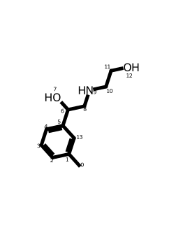 Cc1cccc(C(O)CNCCO)c1